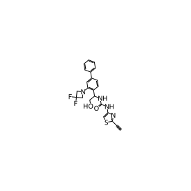 C#Cc1nc(NC(=O)NC(CO)c2ccc(-c3ccccc3)cc2N2CC(F)(F)C2)cs1